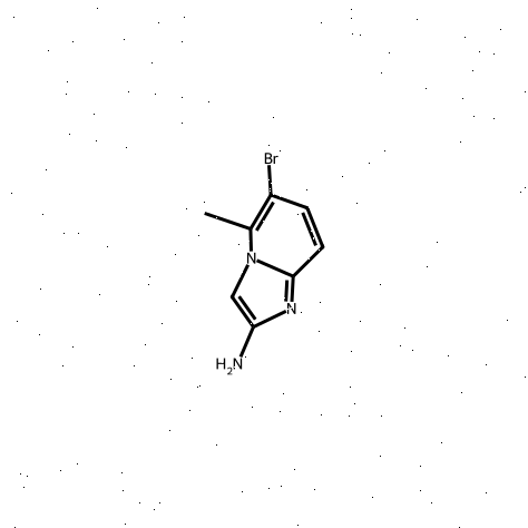 Cc1c(Br)ccc2nc(N)cn12